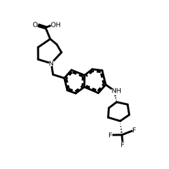 O=C(O)C1CCN(Cc2ccc3cc(N[C@H]4CC[C@@H](C(F)(F)F)CC4)ccc3c2)CC1